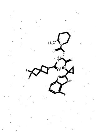 C[C@@H]1CCCCN1C(=O)C[C@@H](NC(=O)C1CC2(C1)CC(F)(F)C2)C(=O)NC1(c2nc3cccc(F)c3[nH]2)CC1